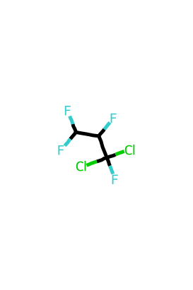 FC(F)C(F)C(F)(Cl)Cl